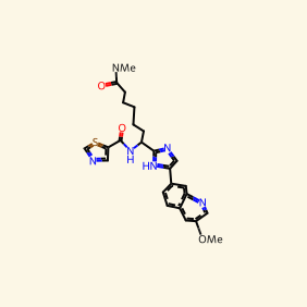 CNC(=O)CCCCCC(NC(=O)c1cncs1)c1ncc(-c2ccc3cc(OC)cnc3c2)[nH]1